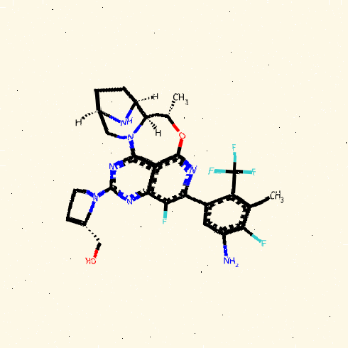 Cc1c(F)c(N)cc(-c2nc3c4c(nc(N5CC[C@H]5CO)nc4c2F)N2C[C@H]4CC[C@H](N4)[C@H]2[C@H](C)O3)c1C(F)(F)F